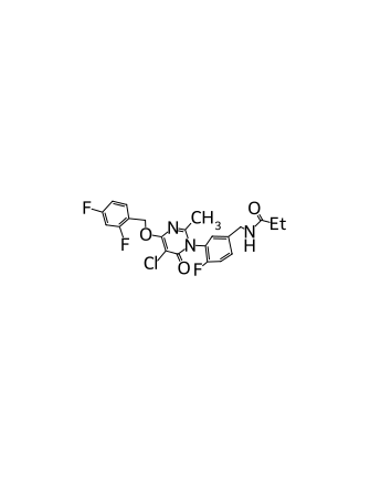 CCC(=O)NCc1ccc(F)c(-n2c(C)nc(OCc3ccc(F)cc3F)c(Cl)c2=O)c1